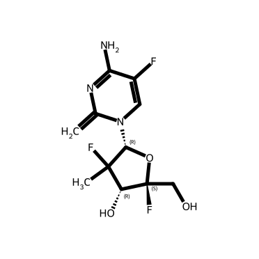 C=C1N=C(N)C(F)=CN1[C@@H]1O[C@](F)(CO)[C@H](O)C1(C)F